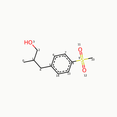 CC(CO)Cc1ccc(S(C)(=O)=O)cc1